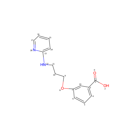 O=C(O)c1cccc(OCCCNc2ccccn2)c1